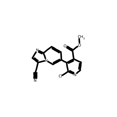 COC(=O)c1ccnc(Cl)c1-c1ccc2ncc(C#N)n2c1